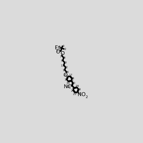 CCC(C)(C)C(=O)OCCCCCCCCOc1ccc(/C=C(\C#N)c2ccc([N+](=O)[O-])cc2)cc1